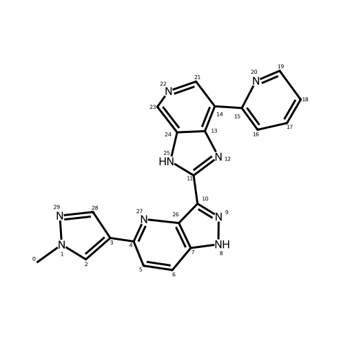 Cn1cc(-c2ccc3[nH]nc(-c4nc5c(-c6ccccn6)cncc5[nH]4)c3n2)cn1